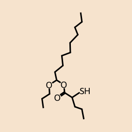 CCCCCCCCCC(OCCC)OC(=O)C(S)CCC